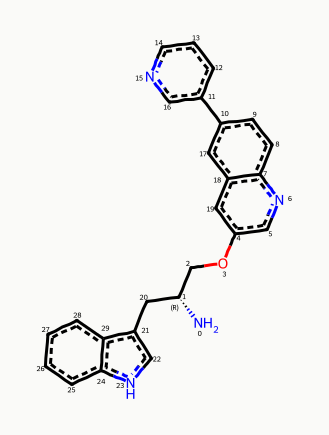 N[C@@H](COc1cnc2ccc(-c3cccnc3)cc2c1)Cc1c[nH]c2ccccc12